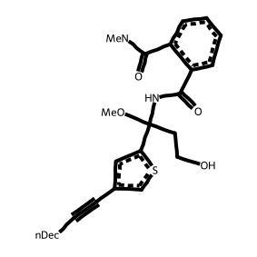 CCCCCCCCCCC#Cc1csc(C(CCO)(NC(=O)c2ccccc2C(=O)NC)OC)c1